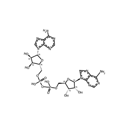 Nc1ncnc2c1ncn2[C@@H]1O[C@H](COP(=O)(O)OP(=O)(O)OC[C@H]2O[C@@H](n3cnc4c(N)ncnc43)[C@H](O)[C@@H]2O)[C@@H](O)[C@H]1O